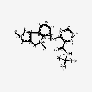 [2H]C([2H])([2H])NC(=O)c1nncnc1Nc1cccc2c1N(C)Cc1cn(C)nc1-2